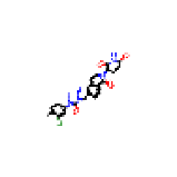 Cc1ccc(NC(=O)NCc2ccc3c(=O)n(C4CCC(=O)NC4=O)ccc3c2)cc1Cl